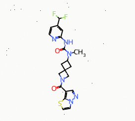 CN(C(=O)Nc1cc(C(F)F)ccn1)C1CC2(C1)CN(C(=O)c1cnn3ccsc13)C2